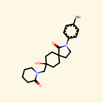 CC(C)(C)c1ccc(N2CCC3(CCC(O)(CN4CCCCC4=O)CC3)C2=O)cc1